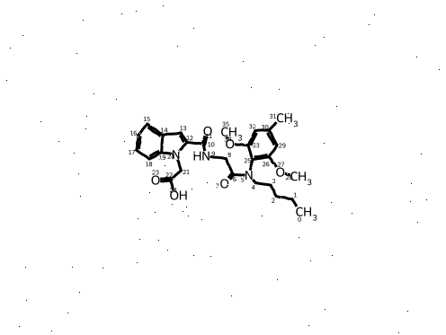 CCCCCN(C(=O)CNC(=O)c1cc2ccccc2n1CC(=O)O)c1c(OC)cc(C)cc1OC